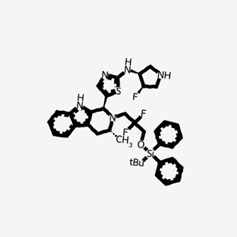 C[C@@H]1Cc2c([nH]c3ccccc23)[C@@H](c2cnc(N[C@H]3CNC[C@H]3F)s2)N1CC(F)(F)CO[Si](c1ccccc1)(c1ccccc1)C(C)(C)C